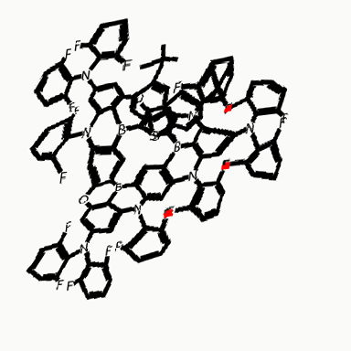 CC(C)(C)c1ccc2sc3c(c2c1)Oc1cc(N(c2c(F)cccc2F)c2c(F)cccc2F)cc2c1B3c1cc3c(cc1N2c1c(F)cccc1F)Oc1cc(N(c2c(F)cccc2F)c2c(F)cccc2F)cc2c1B3c1cc3c(cc1N2c1c(F)cccc1F)N(c1c(F)cccc1F)c1cc(N(c2c(F)cccc2F)c2c(F)cccc2F)cc2c1B3c1sc3ccc(C(C)(C)C)cc3c1N2c1c(F)cccc1F